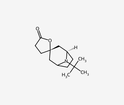 CC(C)(C)N1C2CC[C@@H]1C[C@]1(CCC(=O)O1)C2